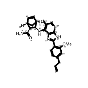 C=CCc1ccc(-c2nc3c(N[C@H]4[C@@H](C(N)=O)[C@@H]5C=C[C@H]4C5)c(Cl)cnc3[nH]2)c(OC)c1